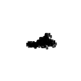 Cc1nn(C)cc1S(=O)(=O)NC(=O)c1ccc(-n2ccc(OCC(C)(C)C(F)(F)F)n2)nc1N1CC(CO[Si](C)(C)C(C)(C)C)CC1(C)C